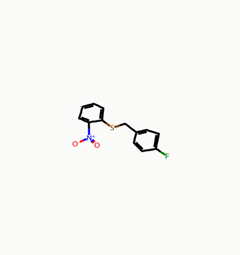 O=[N+]([O-])c1c[c]ccc1SCc1ccc(F)cc1